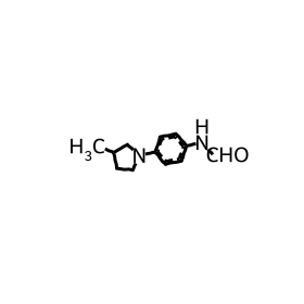 CC1CCN(c2ccc(NC=O)cc2)C1